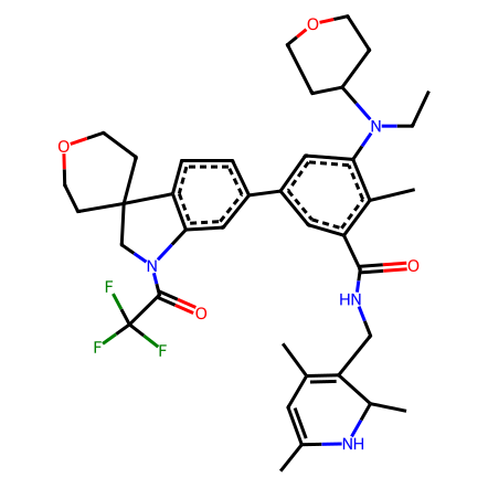 CCN(c1cc(-c2ccc3c(c2)N(C(=O)C(F)(F)F)CC32CCOCC2)cc(C(=O)NCC2=C(C)C=C(C)NC2C)c1C)C1CCOCC1